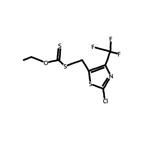 CCOC(=S)SCc1sc(Cl)nc1C(F)(F)F